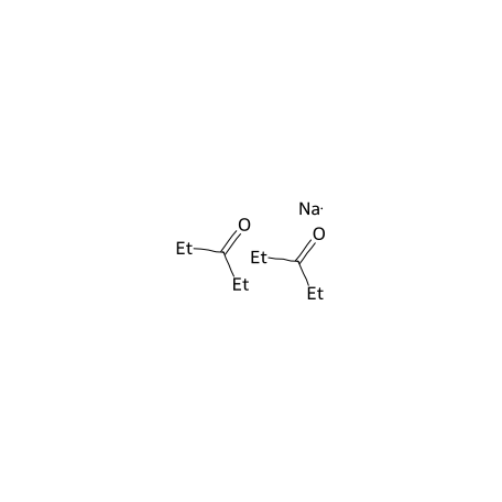 CCC(=O)CC.CCC(=O)CC.[Na]